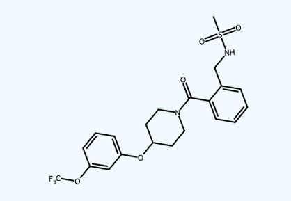 CS(=O)(=O)NCc1ccccc1C(=O)N1CCC(Oc2cccc(OC(F)(F)F)c2)CC1